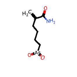 C=C(CCCC[As](=O)=O)C(N)=O